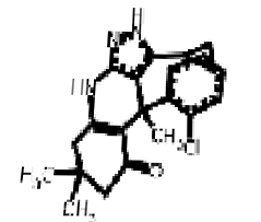 CC1(C)CC(=O)C2=C(C1)Nc1n[nH]c(C3CC3)c1C2(C)c1ccccc1Cl